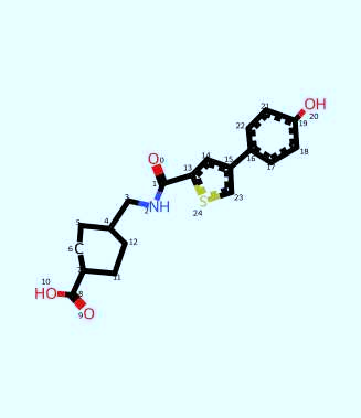 O=C(NCC1CCC(C(=O)O)CC1)c1cc(-c2ccc(O)cc2)cs1